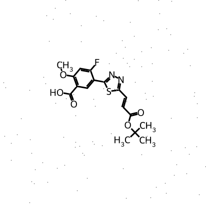 COc1cc(F)c(-c2nnc(C=CC(=O)OC(C)(C)C)s2)cc1C(=O)O